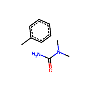 CN(C)C(N)=O.Cc1ccccc1